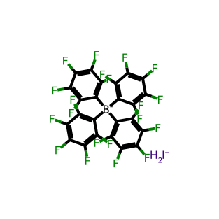 Fc1c(F)c(F)c([B-](c2c(F)c(F)c(F)c(F)c2F)(c2c(F)c(F)c(F)c(F)c2F)c2c(F)c(F)c(F)c(F)c2F)c(F)c1F.[IH2+]